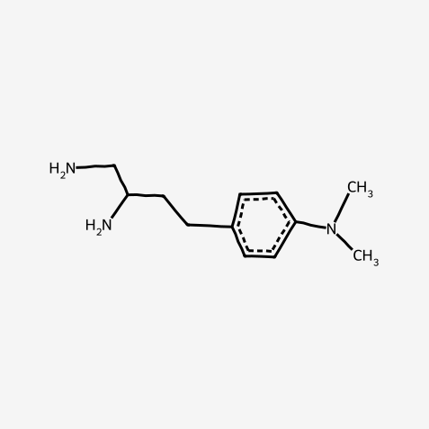 CN(C)c1ccc(CCC(N)CN)cc1